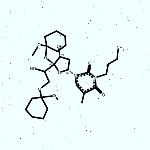 COC1(OCC(O)[C@@]2(OC3(OC)CCCCC3)O[C@@H](n3cc(C)c(=O)n(CCCN)c3=O)C[C@@H]2O)CCCCC1